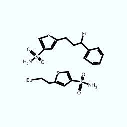 CCC(C)CCc1cc(S(N)(=O)=O)cs1.CCC(CCc1cc(S(N)(=O)=O)cs1)c1ccccc1